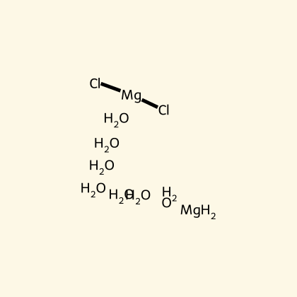 O.O.O.O.O.O.O.[Cl][Mg][Cl].[MgH2]